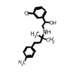 Cc1ccc(CCC(C)(C)NCC(O)c2cccc(Cl)c2)cc1